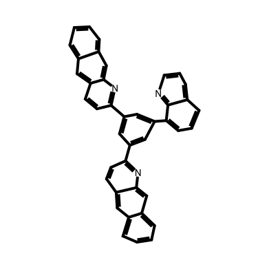 c1ccc2cc3nc(-c4cc(-c5ccc6cc7ccccc7cc6n5)cc(-c5cccc6cccnc56)c4)ccc3cc2c1